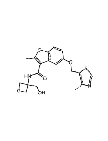 Cc1ncsc1COc1ccc2sc(C)c(C(=O)NC3(CO)COC3)c2c1